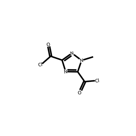 Cn1nc(C(=O)Cl)nc1C(=O)Cl